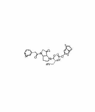 CC(C)CC(NC(=O)Oc1cc2sccc2s1)C(=O)N1CCC2C1C(=O)CN2C(=O)Cc1cccnc1